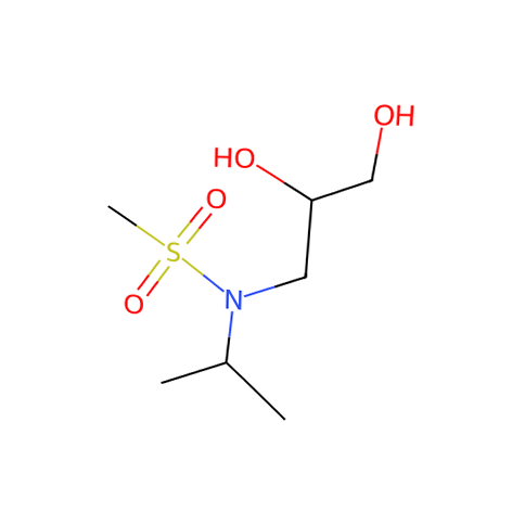 CC(C)N(CC(O)CO)S(C)(=O)=O